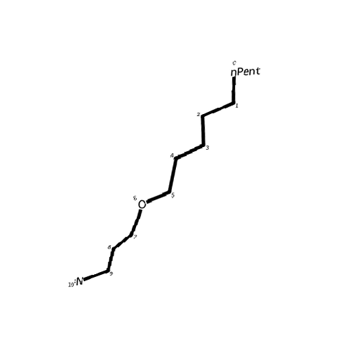 CCCCCCCCCCOCCC[N]